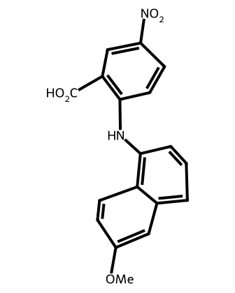 COc1ccc2c(Nc3ccc([N+](=O)[O-])cc3C(=O)O)cccc2c1